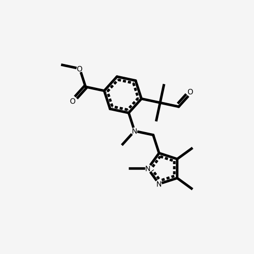 COC(=O)c1ccc(C(C)(C)C=O)c(N(C)Cc2c(C)c(C)nn2C)c1